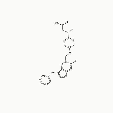 C[C@@H](CC(=O)O)c1ccc(OCc2cc3c(ccn3Cc3ccccc3)cc2F)cc1